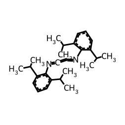 CC(C)c1cccc(C(C)C)c1N=C=C=Nc1c(C(C)C)cccc1C(C)C